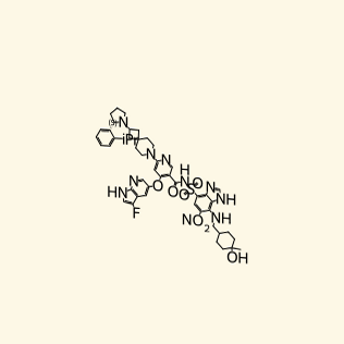 CC(C)c1ccccc1[C@@H]1CCCN1C1CC2(CCN(c3cc(Oc4cnc5[nH]cc(F)c5c4)c(C(=O)NS(=O)(=O)c4cc([N+](=O)[O-])c(NCC5CCC(C)(O)CC5)c5[nH]cnc45)cn3)CC2)C1